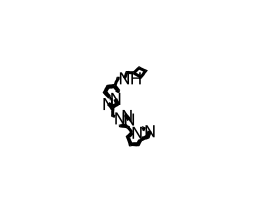 c1cc(-c2cn(Cc3cn4cc(CNCC5CCC5)ccc4n3)nn2)n2cncc2c1